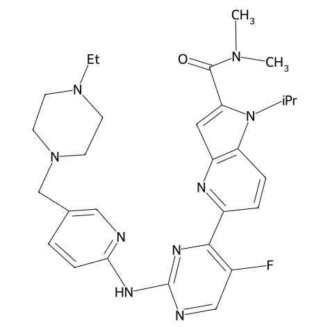 CCN1CCN(Cc2ccc(Nc3ncc(F)c(-c4ccc5c(cc(C(=O)N(C)C)n5C(C)C)n4)n3)nc2)CC1